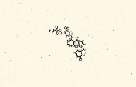 NS(=O)(=O)OC[C@H]1C[C@@H](Nc2ncnc(Cl)c2C(=O)c2ccn(Cc3cccc(Cl)c3)n2)C[C@@H]1O